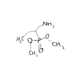 CCC(N)P(=O)(OC)OC